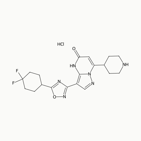 Cl.O=c1cc(C2CCNCC2)n2ncc(-c3noc(C4CCC(F)(F)CC4)n3)c2[nH]1